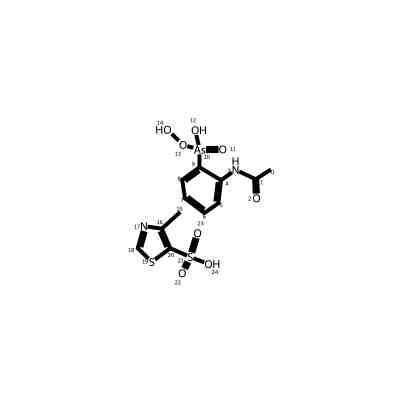 CC(=O)Nc1ccccc1[As](=O)(O)OO.Cc1ncsc1S(=O)(=O)O